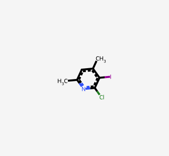 Cc1cc(C)c(I)c(Cl)n1